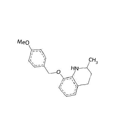 COc1ccc(COc2cccc3c2NC(C)CC3)cc1